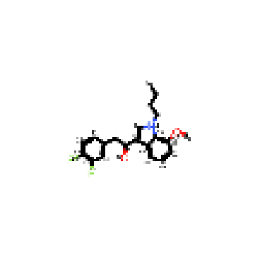 CCCCn1cc(C(=O)Cc2ccc(F)c(F)c2)c2cccc(OC)c21